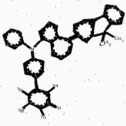 [2H]c1c([2H])c([2H])c(-c2ccc(N(c3ccccc3)c3cccc4c(-c5ccc6c(c5)C(C)(C)c5ccccc5-6)cccc34)cc2)c([2H])c1[2H]